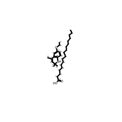 CCCCCCCCCCCCCCCCCC(=O)O.CCOc1ccc2c(c1)C(C)=CC(C)(C)N2